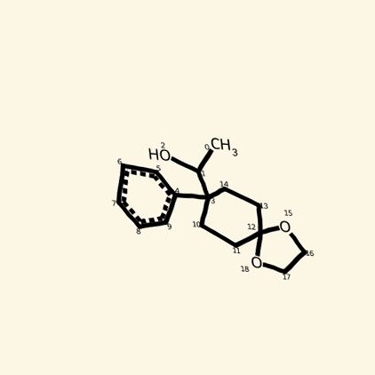 CC(O)C1(c2ccccc2)CCC2(CC1)OCCO2